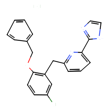 Cl.Clc1ccc(OCc2ccccc2)c(Cc2cccc(-c3ncc[nH]3)n2)c1